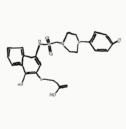 C=C(O)CSc1cc(NS(=O)(=O)N2CCN(c3ccc(Cl)cc3)CC2)c2ccccc2c1O